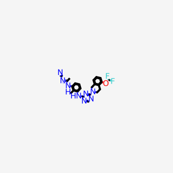 C/C(=N\C#N)Nc1cccc(Nc2ncnc(N3CCc4c(cccc4OC(F)F)C3)n2)c1C